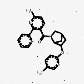 Cc1ccc(C(=O)N2CC3CC(Oc4ccc(C(F)(F)F)cn4)C2C3)c(-c2ccccn2)n1